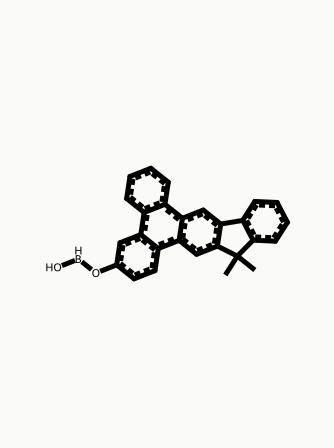 CC1(C)c2ccccc2-c2cc3c4ccccc4c4cc(OBO)ccc4c3cc21